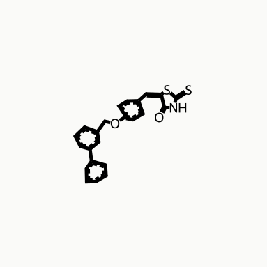 O=C1NC(=S)SC1=Cc1ccc(OCc2cccc(-c3ccccc3)c2)cc1